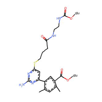 Cc1cc(C)c(-c2cc(SCCCC(=O)NCCNC(=O)OC(C)(C)C)nc(N)n2)cc1C(=O)OC(C)(C)C